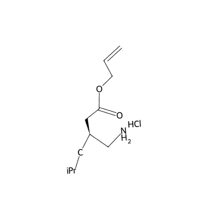 C=CCOC(=O)C[C@@H](CN)CC(C)C.Cl